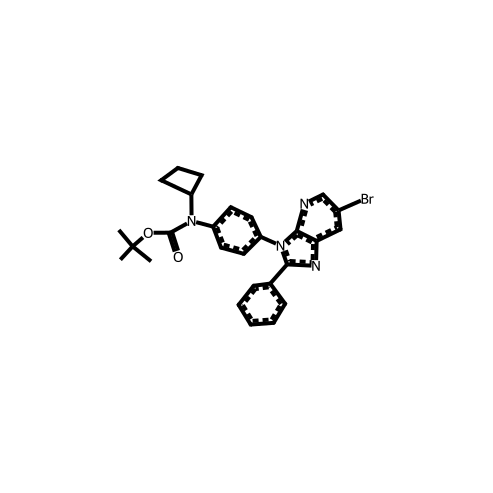 CC(C)(C)OC(=O)N(c1ccc(-n2c(-c3ccccc3)nc3cc(Br)cnc32)cc1)C1CCC1